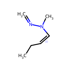 C=NN(C)/C=C\CC